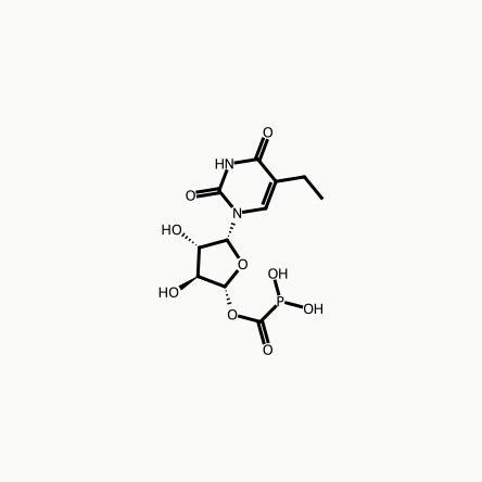 CCc1cn([C@@H]2O[C@H](OC(=O)P(O)O)[C@@H](O)[C@@H]2O)c(=O)[nH]c1=O